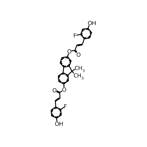 CC1(C)c2cc(OC(=O)C=Cc3ccc(O)cc3F)ccc2-c2ccc(OC(=O)C=Cc3ccc(O)cc3F)cc21